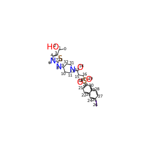 CC(O)c1cn(C)/c(=N/C2CCN(C(=O)CCS(=O)(=O)c3ccc4cc(I)ccc4c3)CC2)s1